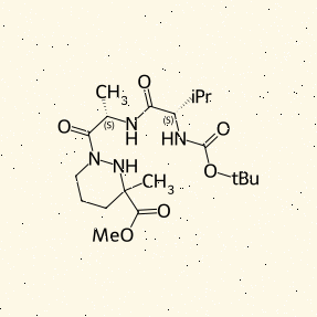 COC(=O)C1(C)CCCN(C(=O)[C@H](C)NC(=O)[C@@H](NC(=O)OC(C)(C)C)C(C)C)N1